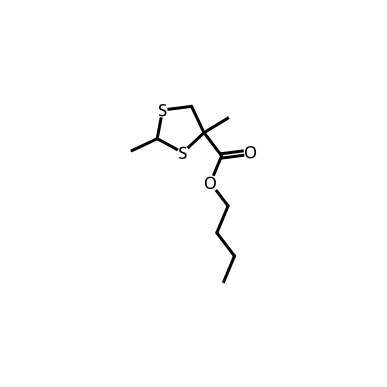 CCCCOC(=O)C1(C)CSC(C)S1